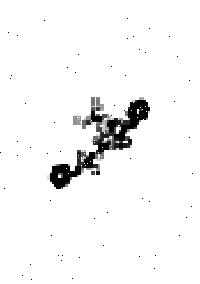 CC(C)(C)OC(=O)N[C@@H](Cc1ccccc1)C(=O)NNC(=O)OCC(=O)NCc1ccccc1